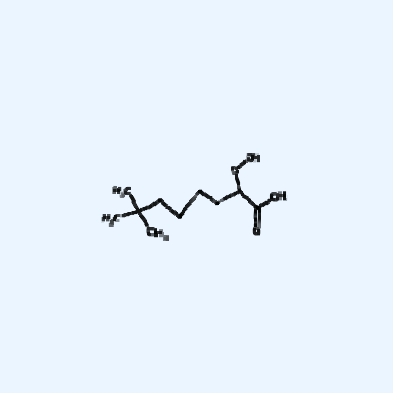 CC(C)(C)CCCCC(OO)C(=O)O